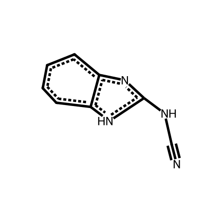 N#CNc1nc2ccccc2[nH]1